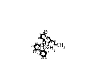 CCCC(Cl)CN1C(=O)C=CC1=O.COc1ccccc1N1C(=O)C=CC1=O